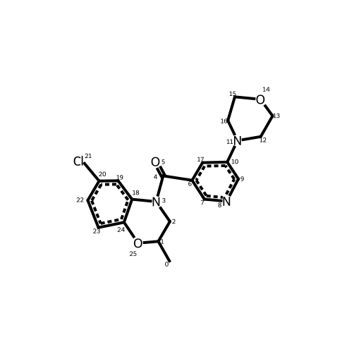 CC1CN(C(=O)c2cncc(N3CCOCC3)c2)c2cc(Cl)ccc2O1